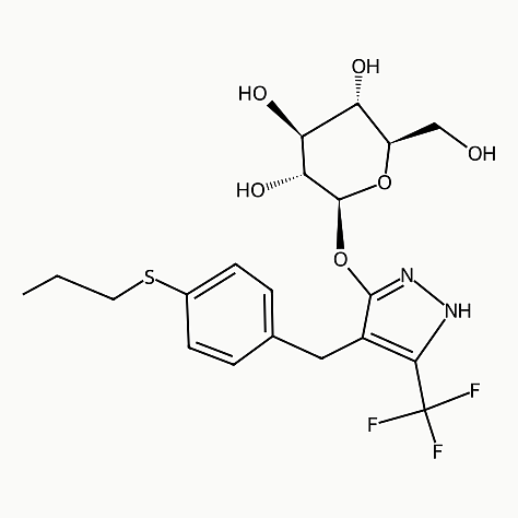 CCCSc1ccc(Cc2c(O[C@@H]3O[C@H](CO)[C@@H](O)[C@H](O)[C@H]3O)n[nH]c2C(F)(F)F)cc1